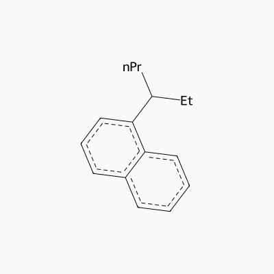 CCCC(CC)c1cccc2ccccc12